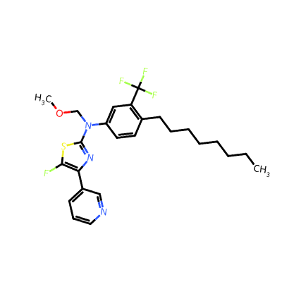 CCCCCCCCc1ccc(N(COC)c2nc(-c3cccnc3)c(F)s2)cc1C(F)(F)F